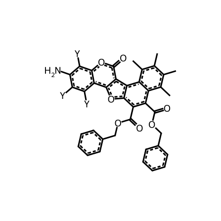 Cc1c(C)c(C)c2c(c1C)c(C(=O)OCc1ccccc1)c(C(=O)OCc1ccccc1)c1oc3c4[c]([Y])[c]([Y])c(N)[c]([Y])c4oc(=O)c3c12